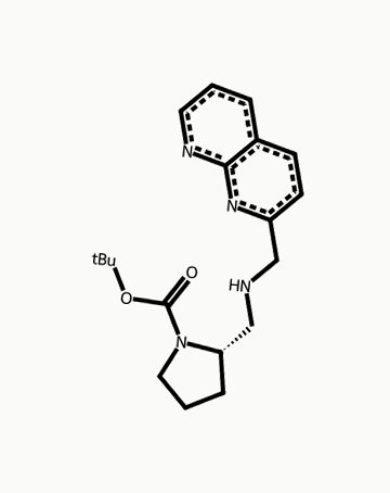 CC(C)(C)OC(=O)N1CCC[C@H]1CNCc1ccc2cccnc2n1